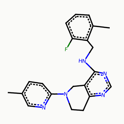 Cc1ccc(N2CCc3ncnc(NCc4c(C)cccc4F)c3C2)nc1